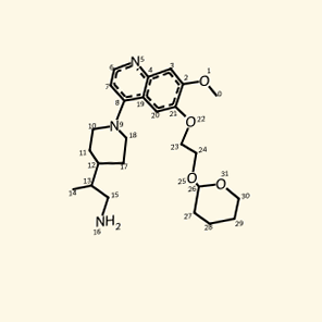 COc1cc2nccc(N3CCC(C(C)CN)CC3)c2cc1OCCOC1CCCCO1